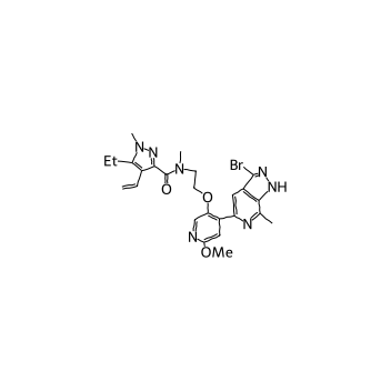 C=Cc1c(C(=O)N(C)CCOc2cnc(OC)cc2-c2cc3c(Br)n[nH]c3c(C)n2)nn(C)c1CC